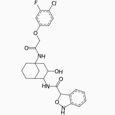 O=C(COc1ccc(Cl)c(F)c1)NC12CCCC(C1)C(NC(=O)C1ONc3ccccc31)C(O)C2